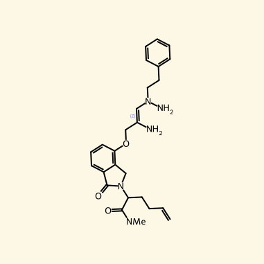 C=CCCC(C(=O)NC)N1Cc2c(OC/C(N)=C/N(N)CCc3ccccc3)cccc2C1=O